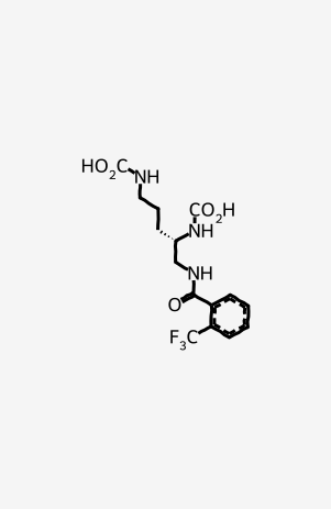 O=C(O)NCCC[C@@H](CNC(=O)c1ccccc1C(F)(F)F)NC(=O)O